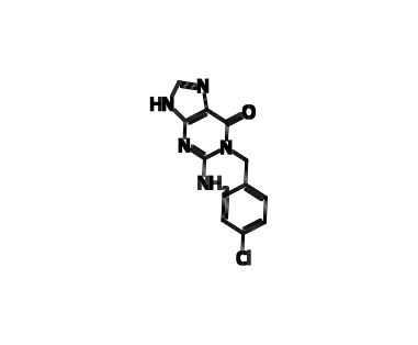 Nc1nc2[nH]cnc2c(=O)n1Cc1ccc(Cl)cc1